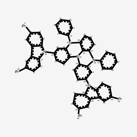 CC(C)c1ccc2c(c1)c1cc(C(C)C)ccc1n2-c1ccc2c(c1)N(c1ccccc1)c1cccc3c1B2c1ccc(-n2c4ccc(C(C)C)cc4c4cc(C(C)C)ccc42)cc1N3c1ccccc1